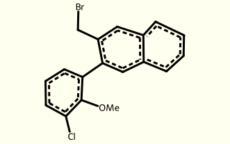 COc1c(Cl)cccc1-c1cc2ccccc2cc1CBr